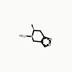 C[C@H]1Cc2nocc2CN1C(=O)O